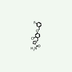 NC(=O)[C@@H]1CCN1Cc1ccc(OCc2cccc(F)c2)cc1Cl